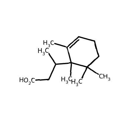 CC1=CCCC(C)(C)C1(C)C(C)CC(=O)O